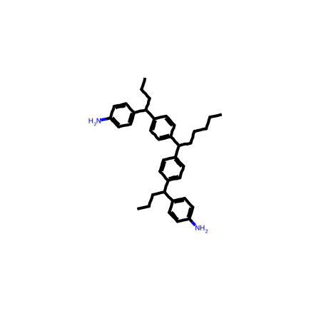 CCCCCC(c1ccc(C(CCC)c2ccc(N)cc2)cc1)c1ccc(C(CCC)c2ccc(N)cc2)cc1